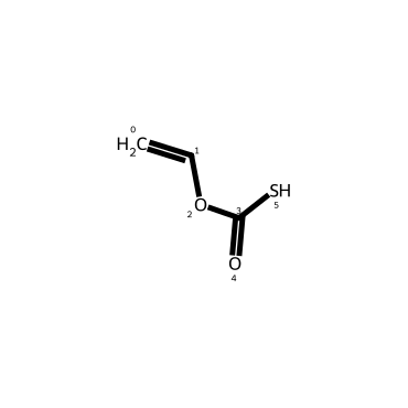 C=COC(=O)S